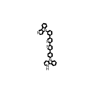 C1=Cc2c(c3ccccc3n2-c2ccc(-c3ccc(-c4ccc(-c5cccc(-n6c7ccccc7c7cnccc76)c5)cn4)nc3)cc2)NC1